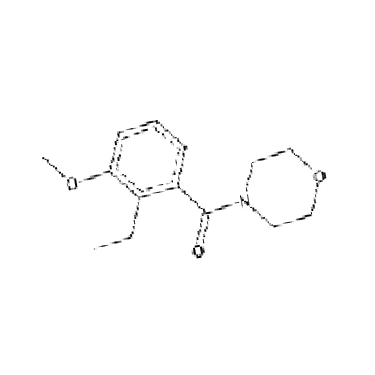 CCc1c(OC)cccc1C(=O)N1CCOCC1